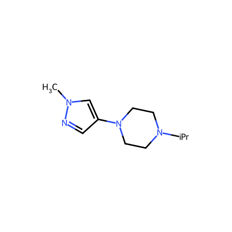 CC(C)N1CCN(c2cnn(C)c2)CC1